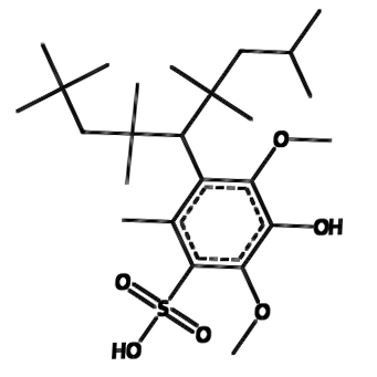 COc1c(O)c(OC)c(S(=O)(=O)O)c(C)c1C(C(C)(C)CC(C)C)C(C)(C)CC(C)(C)C